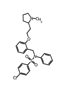 CN1CCCC1CCOc1ccccc1CN(c1ccccc1)S(=O)(=O)c1ccc(Cl)cc1